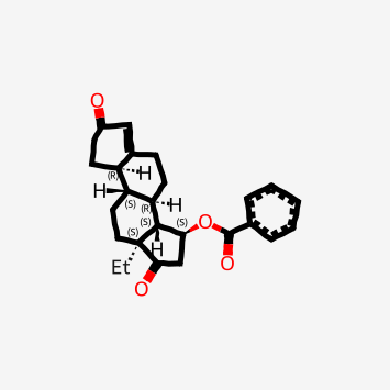 CC[C@]12CC[C@H]3[C@@H](CCC4=CC(=O)CC[C@@H]43)[C@@H]1[C@@H](OC(=O)c1ccccc1)CC2=O